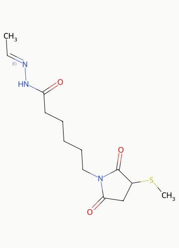 C/C=N/NC(=O)CCCCCN1C(=O)CC(SC)C1=O